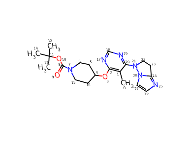 Cc1c(OC2CCN(C(=O)OC(C)(C)C)CC2)ncnc1N1CCc2nccn21